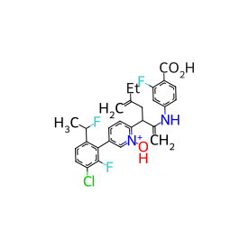 C=C(CC)CC(C(=C)Nc1ccc(C(=O)O)c(F)c1)c1ccc(-c2c(C(C)F)ccc(Cl)c2F)c[n+]1O